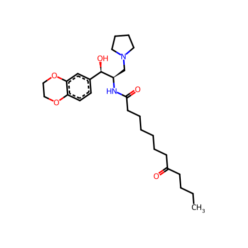 CCCCC(=O)CCCCCCC(=O)N[C@H](CN1CCCC1)[C@H](O)c1ccc2c(c1)OCCO2